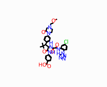 COCCN1CCN(c2ccc(C(C(NC(=O)C(=O)Nc3cc(Cl)ccc3-n3cnnn3)C(=O)Nc3ccc(C(=O)O)cc3)C(C)(C)C)cc2)C(=O)C1